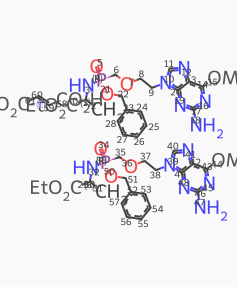 CCOC(=O)[C@H](C)N[P@@](=O)(COCCn1cnc2c(OC)nc(N)nc21)OCc1ccccc1.CCOC(=O)[C@H](C)N[P@@](=O)(COCCn1cnc2c(OC)nc(N)nc21)OCc1ccccc1.O=C(O)/C=C/C(=O)O